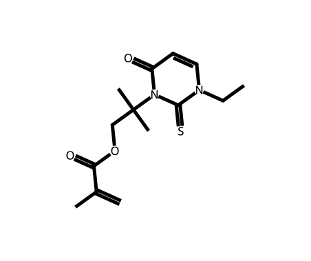 C=C(C)C(=O)OCC(C)(C)n1c(=O)ccn(CC)c1=S